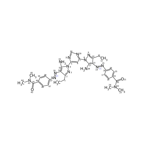 CCc1nn(-c2cc(-n3nc(CC)c(/N=N/c4ccc(C(=O)N(C)C)cc4)c3N)ncn2)c(N)c1/N=N/c1ccc(C(=O)N(C)C)cc1